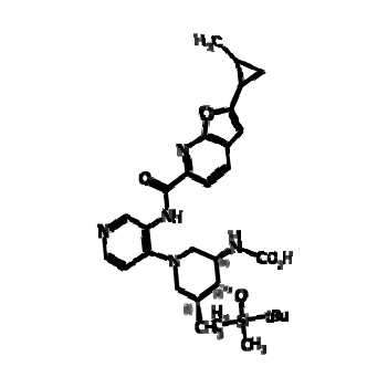 CC1CC1c1cc2ccc(C(=O)Nc3cnccc3N3C[C@H](C)[C@@H](O[Si](C)(C)C(C)(C)C)[C@H](NC(=O)O)C3)nc2o1